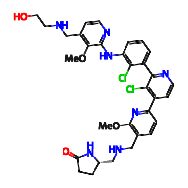 COc1nc(-c2ccnc(-c3cccc(Nc4nccc(CNCCO)c4OC)c3Cl)c2Cl)ccc1CNC[C@@H]1CCC(=O)N1